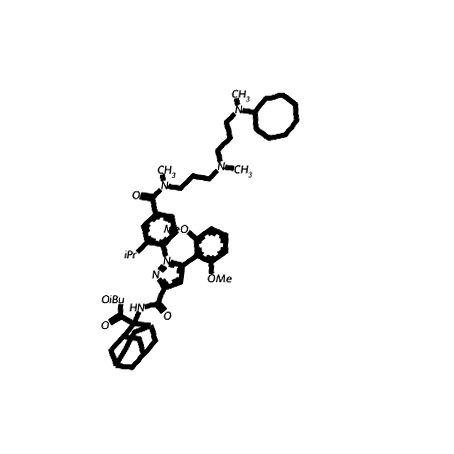 COc1cccc(OC)c1-c1cc(C(=O)NC2(C(=O)OCC(C)C)C3CC4CC(C3)CC2C4)nn1-c1ccc(C(=O)N(C)CCCN(C)CCCN(C)C2CCCCCCC2)cc1C(C)C